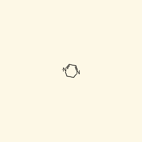 C1=NCC[N+]=C1